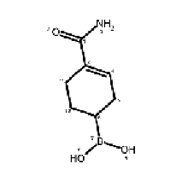 NC(=O)C1=CCC(B(O)O)CC1